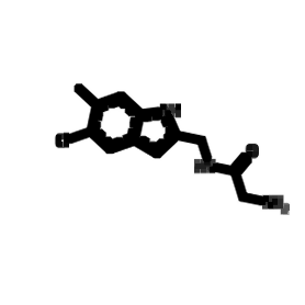 Cc1cc2[nH]c(CNC(=O)CN)cc2cc1Cl